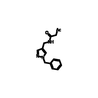 CC(=O)CC(=O)NCc1cnn(Cc2ccccc2)c1